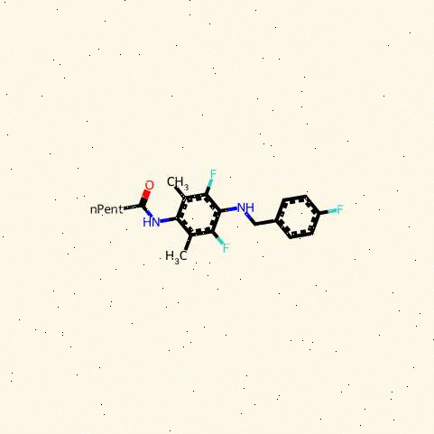 CCCCCC(=O)Nc1c(C)c(F)c(NCc2ccc(F)cc2)c(F)c1C